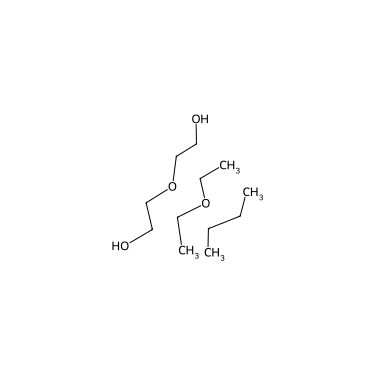 CCCC.CCOCC.OCCOCCO